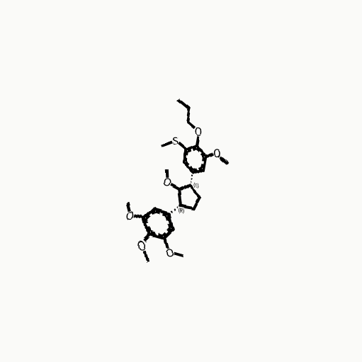 CCCOc1c(OC)cc([C@@H]2CC[C@H](c3cc(OC)c(OC)c(OC)c3)C2OC)cc1SC